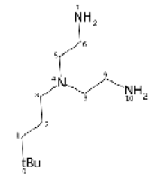 CC(C)(C)CCCN(CCN)CCN